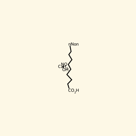 CCCCCCCCCCCCCCCCCC(=O)O.O=NO.[CaH2]